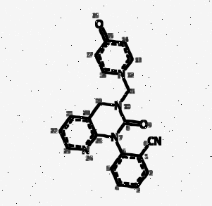 N#Cc1ccccc1N1C(=O)N(Cn2ccc(=O)cc2)Cc2cccnc21